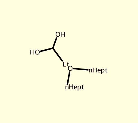 CCC(O)O.CCCCCCCOCCCCCCC